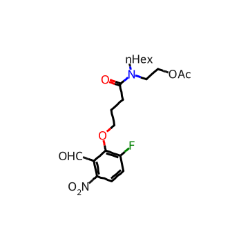 CCCCCCN(CCOC(C)=O)C(=O)CCCOc1c(F)ccc([N+](=O)[O-])c1C=O